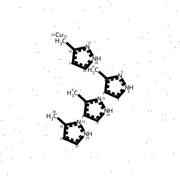 Cc1cc[nH]n1.Cc1cc[nH]n1.Cc1cc[nH]n1.Cc1cc[nH]n1.[Cu]